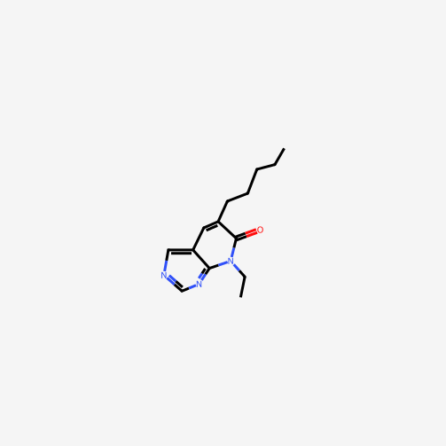 CCCCCc1cc2cncnc2n(CC)c1=O